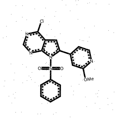 COc1cc(-c2cc3c(Cl)ncnc3n2S(=O)(=O)c2ccccc2)ccn1